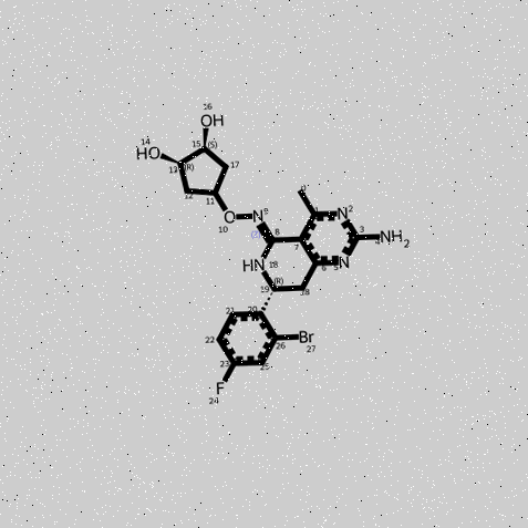 Cc1nc(N)nc2c1/C(=N/OC1C[C@@H](O)[C@@H](O)C1)N[C@@H](c1ccc(F)cc1Br)C2